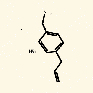 Br.C=CCc1ccc(CN)cc1